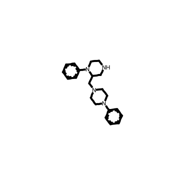 c1ccc(N2CCN(CC3CNCCN3c3ccccc3)CC2)cc1